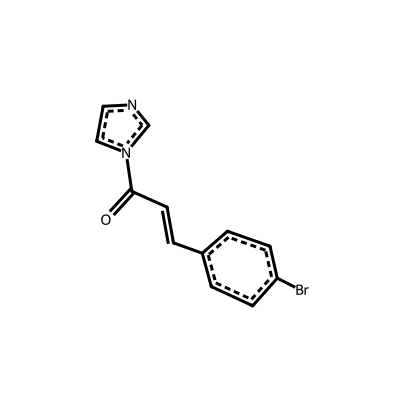 O=C(C=Cc1ccc(Br)cc1)n1ccnc1